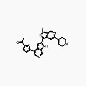 CC(=O)c1ccc(-c2cncc3[nH]c(-c4n[nH]c5cnc(C6=CCNCC6)cc45)cc23)s1